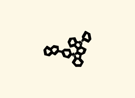 c1ccc(-n2c3ccccc3c3c2ccc2c4ccccc4n(-c4ccc(-c5ccc6ccccc6c5)cc4)c23)cc1